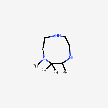 [2H]C1NCCNCCN([2H])C1([2H])[2H]